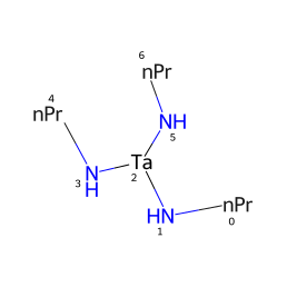 CCC[NH][Ta]([NH]CCC)[NH]CCC